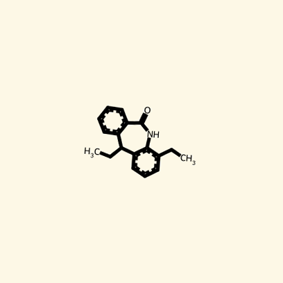 CCc1cccc2c1NC(=O)c1ccccc1C2CC